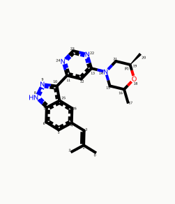 CC(C)=Cc1ccc2[nH]nc(-c3cc(N4CC(C)O[C@H](C)C4)ncn3)c2c1